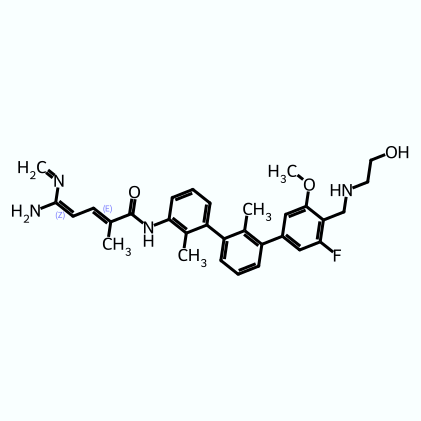 C=N/C(N)=C\C=C(/C)C(=O)Nc1cccc(-c2cccc(-c3cc(F)c(CNCCO)c(OC)c3)c2C)c1C